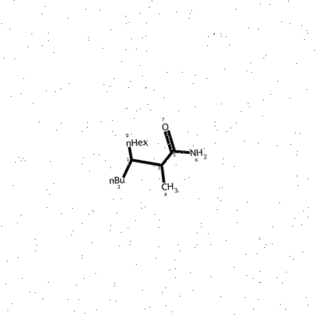 CCCCCCC(CCCC)C(C)C(N)=O